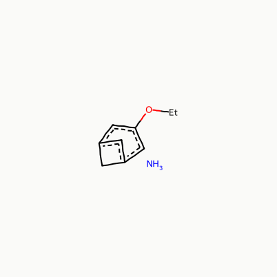 CCOc1cc2cc(c1)C2.N